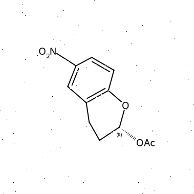 CC(=O)O[C@@H]1CCc2cc([N+](=O)[O-])ccc2O1